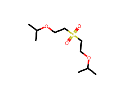 CC(C)OCCS(=O)(=O)CCOC(C)C